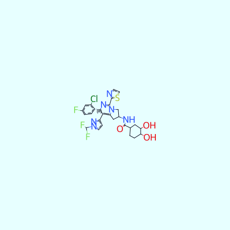 O=C(NC1CC2=C(c3ccn(C(F)F)n3)[C@H](c3ccc(F)cc3Cl)N=C(c3nccs3)N2C1)C1CCC(O)C(O)C1